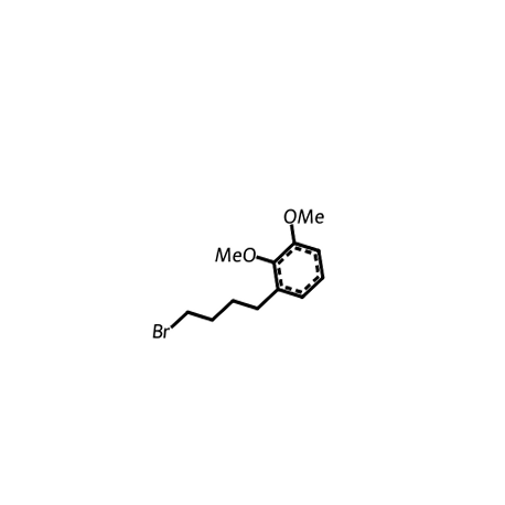 COc1cccc(CCCCBr)c1OC